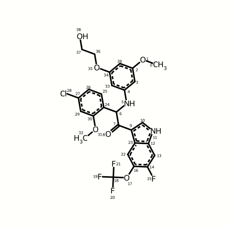 COc1cc(NC(C(=O)c2c[nH]c3cc(F)c(OC(F)(F)F)cc23)c2ccc(Cl)cc2OC)cc(OCCO)c1